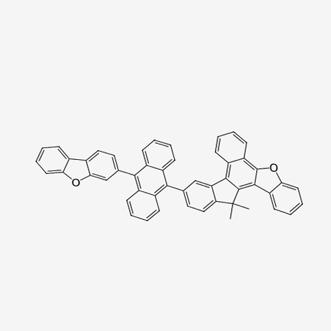 CC1(C)c2ccc(-c3c4ccccc4c(-c4ccc5c(c4)oc4ccccc45)c4ccccc34)cc2-c2c1c1c3ccccc3oc1c1ccccc21